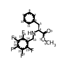 COC(=O)[C@H](Cc1ccccc1)NCc1c(F)c(F)c(F)c(F)c1F